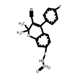 CC1(C)Oc2cc(CN[SH](=O)=O)ccc2C(c2ccc(F)cc2)=C1C#N